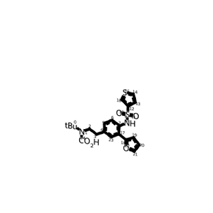 CC(C)(C)N(CCc1ccc(NS(=O)(=O)c2ccsc2)c(-c2ccco2)c1)C(=O)O